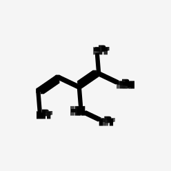 CCC/C=C\C(NCCC)=C(/CCC)CCCC